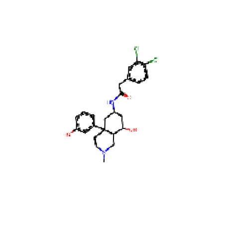 CN1CCC2(c3cccc(O)c3)CC(NC(=O)Cc3ccc(Cl)c(Cl)c3)CC(O)C2C1